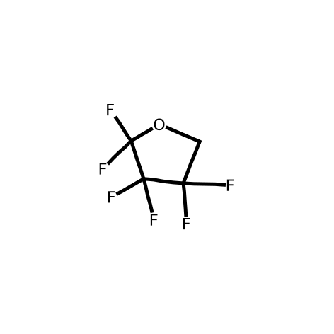 FC1(F)COC(F)(F)C1(F)F